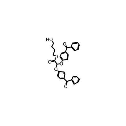 O=C(c1ccccc1)c1ccc(OC(Oc2ccc(C(=O)c3ccccc3)cc2)C(=O)OCCCCO)cc1